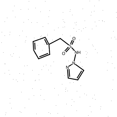 O=S(=O)(Cc1ccccc1)Nn1cccn1